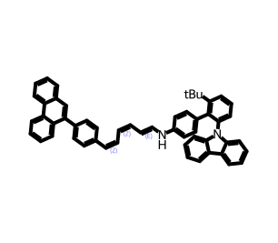 CC(C)(C)c1cccc(-n2c3ccccc3c3ccccc32)c1-c1ccc(N/C=C/C=C\C=C/c2ccc(-c3cc4ccccc4c4ccccc34)cc2)cc1